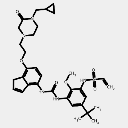 C=CS(=O)(=O)Nc1cc(C(C)(C)C)cc(NC(=O)Nc2ccc(OCCN3CCN(CC4CC4)C(=O)C3)c3c2C=CC3)c1OC